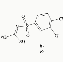 O=S(=O)(N=C(S)S)c1ccc(Cl)c(Cl)c1.[K].[K]